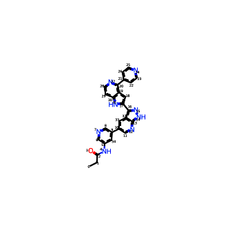 CCC(=O)Nc1cncc(-c2cnc3[nH]nc(-c4cc5c(-c6ccncc6)nccc5[nH]4)c3c2)c1